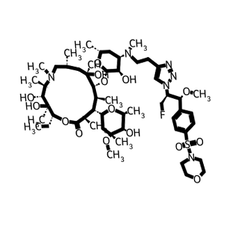 CC[C@H]1OC(=O)[C@H](C)[C@@H](C2C[C@@](C)(OC)[C@@H](O)[C@H](C)O2)[C@H](C)[C@@H](O[C@@H]2O[C@H](C)C[C@H](N(C)CCc3cn([C@H](CF)[C@H](OC)c4ccc(S(=O)(=O)N5CCOCC5)cc4)nn3)[C@H]2O)[C@](C)(O)C[C@@H](C)CN(C)[C@H](C)[C@@H](O)[C@]1(C)O